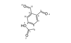 CC(=O)O.O=Cc1ccccc1C=O